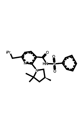 CC(C)Cc1ccc(C(=O)NS(=O)(=O)c2ccccc2)c(N2C[C@@H](C)CC2(C)C)n1